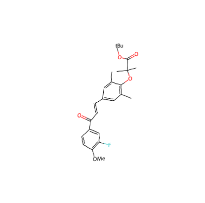 COc1ccc(C(=O)C=Cc2cc(C)c(OC(C)(C)C(=O)OC(C)(C)C)c(C)c2)cc1F